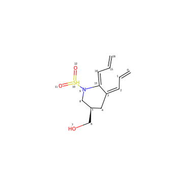 C=C/C=C1/C[C@@H](CO)CN([SH](=O)=O)/C1=C/C=C